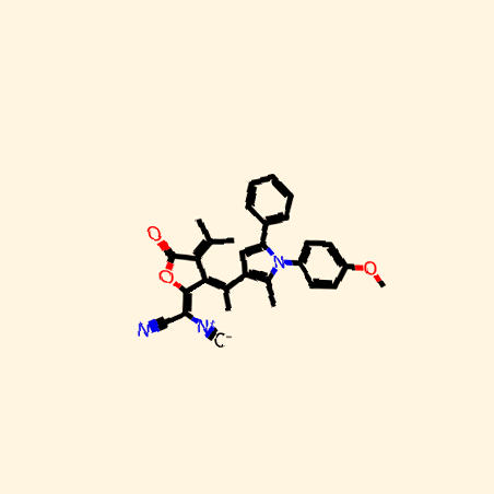 [C-]#[N+]/C(C#N)=C1/OC(=O)C(=C(C)C)/C1=C(/C)c1cc(-c2ccccc2)n(-c2ccc(OC)cc2)c1C